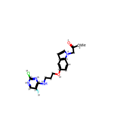 COC(=O)Cn1ccc2cc(OCCCNc3nc(Cl)ncc3F)ccc21